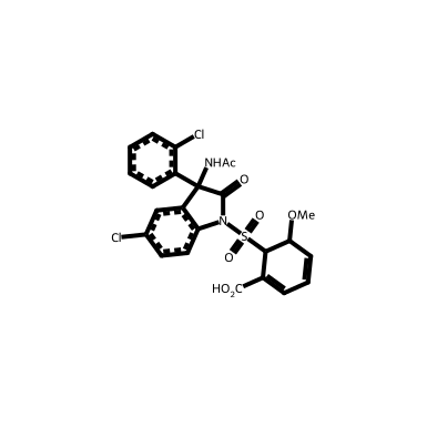 COC1C=CC=C(C(=O)O)C1S(=O)(=O)N1C(=O)C(NC(C)=O)(c2ccccc2Cl)c2cc(Cl)ccc21